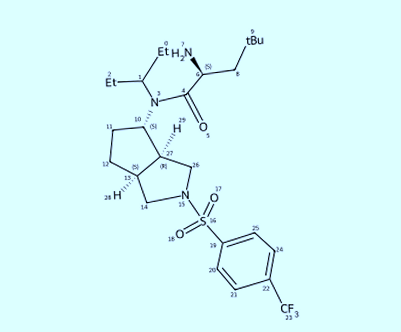 CCC(CC)N(C(=O)[C@@H](N)CC(C)(C)C)[C@H]1CC[C@@H]2CN(S(=O)(=O)c3ccc(C(F)(F)F)cc3)C[C@@H]21